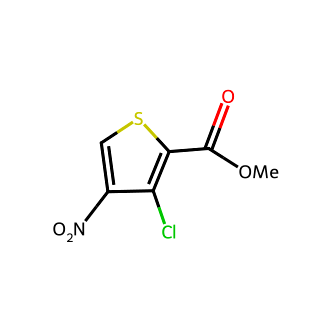 COC(=O)c1scc([N+](=O)[O-])c1Cl